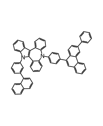 c1ccc(-c2ccc3c(-c4ccc(N5c6ccccc6-c6c(n(-c7cccc(-c8cccc9ccccc89)c7)c7ccccc67)-c6ccccc65)cc4)cc4ccccc4c3c2)cc1